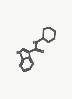 O=C(NC1CCCCC1)c1c[nH]c2nccnc12